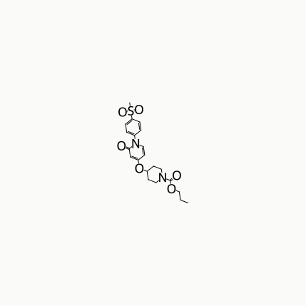 CCCOC(=O)N1CCC(Oc2ccn(-c3ccc(S(C)(=O)=O)cc3)c(=O)c2)CC1